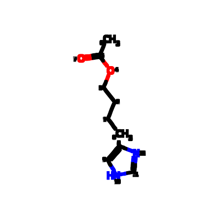 CCCCOC(C)=O.c1c[nH]cn1